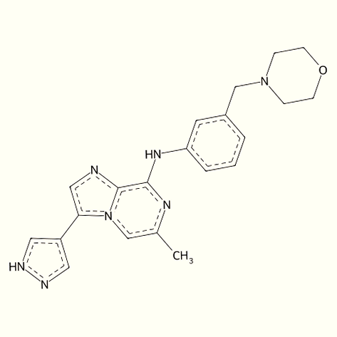 Cc1cn2c(-c3cn[nH]c3)cnc2c(Nc2cccc(CN3CCOCC3)c2)n1